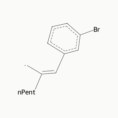 [CH2]C(=Cc1cccc(Br)c1)CCCCC